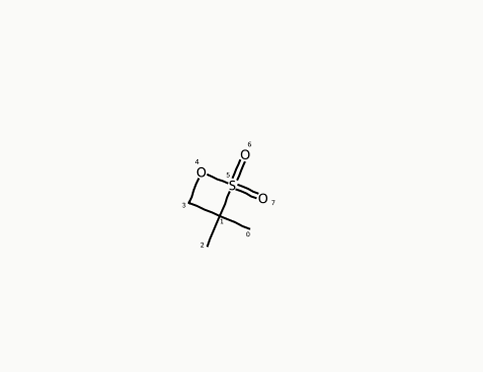 CC1(C)COS1(=O)=O